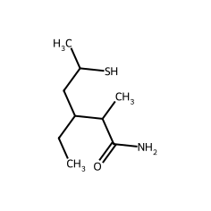 CCC(CC(C)S)C(C)C(N)=O